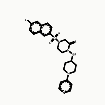 O=S(=O)(c1ccc2cc(Cl)ccc2c1)N1CCN(NC2CCN(c3ccncc3)CC2)C(=S)C1